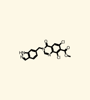 COC(=O)c1c(Cl)cc2c(=O)n(Cc3ccc4cn[nH]c4c3)cnc2c1Cl